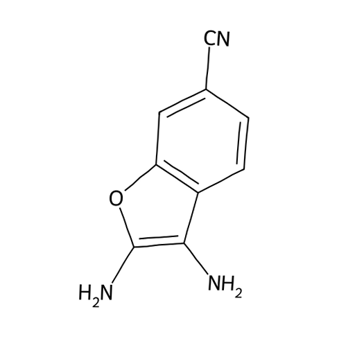 N#Cc1ccc2c(N)c(N)oc2c1